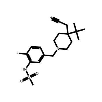 CC(C)(C)C1(CC#N)CCN(Cc2ccc(F)c(NS(C)(=O)=O)c2)CC1